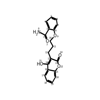 NC(=O)c1ccccc1OCCCc1c(O)c2ccccc2oc1=O